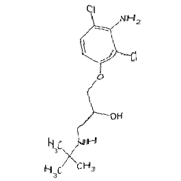 CC(C)(C)NCC(O)COc1ccc(Cl)c(N)c1Cl